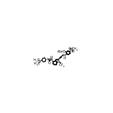 COc1cc(S(C)(=O)=O)ccc1NCC#Cc1cc2c(NC(=O)N[C@H]3CC[C@@H](N(C)C)CC3)cccc2n1CC(F)(F)F